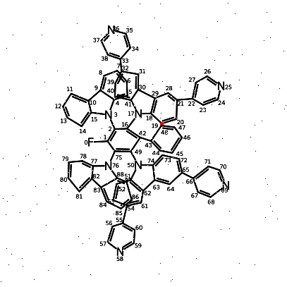 Fc1c(-n2c3ccccc3c3ccccc32)c(-n2c3ccc(-c4ccncc4)cc3c3cc(-c4ccncc4)ccc32)c(-c2ccccc2)c(-n2c3ccc(-c4ccncc4)cc3c3cc(-c4ccncc4)ccc32)c1-n1c2ccccc2c2ccccc21